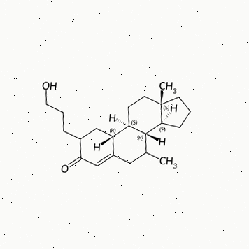 CC1CC2=CC(=O)C(CCCO)C[C@@H]2[C@H]2CC[C@]3(C)CCC[C@H]3[C@H]12